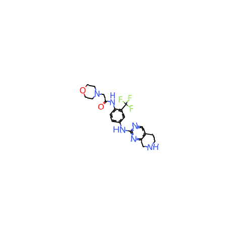 O=C(CN1CCOCC1)Nc1ccc(Nc2ncc3c(n2)CNCC3)cc1C(F)(F)F